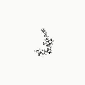 C[C@@H]1CN(c2nccc(CNc3ccnc4c3c(Br)cn4COCC[Si](C)(C)C)n2)C[C@H](C)N1C(=O)O